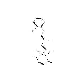 CC(/C=C/C1(C)C(C)C=CC(=O)C1C)=C\Cc1ccccc1C=O